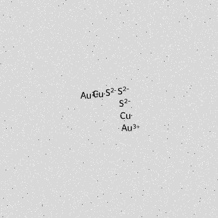 [Au+3].[Au+3].[Cu].[Cu].[S-2].[S-2].[S-2]